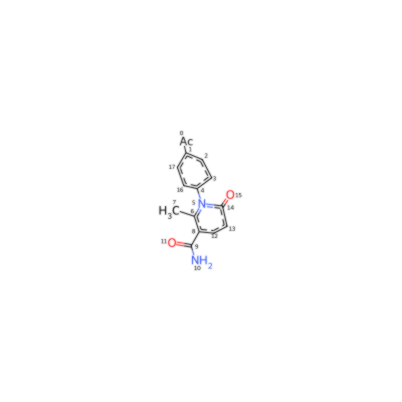 CC(=O)c1ccc(-n2c(C)c(C(N)=O)ccc2=O)cc1